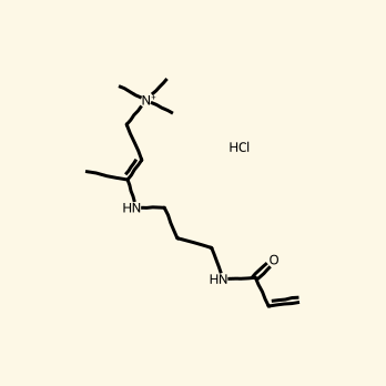 C=CC(=O)NCCCNC(C)=CC[N+](C)(C)C.Cl